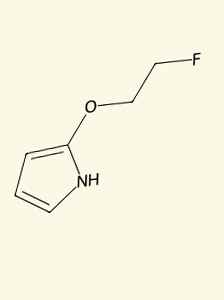 FCCOc1ccc[nH]1